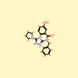 O=c1c2cc(O)ccc2n2c(N3CCCC3)nnc2n1Cc1ccccc1